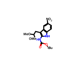 COC(Cc1c(NC(=O)OC(C)(C)C)[nH]c2ccc([N+](=O)[O-])cc12)OC